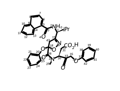 CC(C)[C@H](NC(=O)c1cccc2ccccc12)C1=NOC(Oc2ccccc2)(C(=O)N(C)[C@@H](CC(=O)O)C(=O)COc2ccccc2)C1